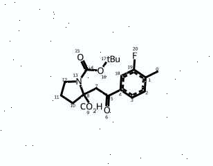 Cc1ccc(C(=O)CC2(C(=O)O)CCCN2C(=O)OC(C)(C)C)cc1F